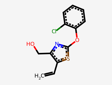 C=Cc1sc(Oc2ccccc2Cl)nc1CO